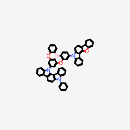 c1ccc(-n2c3ccccc3c3c2ccc2c4ccccc4n(-c4cc5c6c(c4)Oc4cc(-n7c8ccccc8c8c9oc%10ccccc%10c9ccc87)ccc4B6c4ccccc4O5)c23)cc1